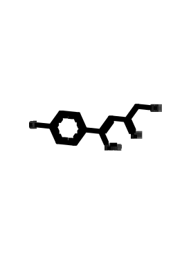 CN/C(=C\C(=N)CO)c1ccc(Cl)cc1